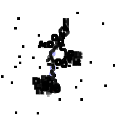 CC[C@H](O[Si](CC)(CC)CC)[C@@H](C)[C@H]1O[C@@H]1CC(C)(/C=C/C=C(\C)[C@H]1OC(=O)C[C@H](O[Si](CC)(CC)CC)CC[C@@](C)(OC(=O)N2CCNCC2)[C@@H](OC(C)=O)/C=C/[C@@H]1C)O[Si](CC)(CC)CC